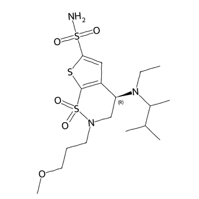 CCN(C(C)C(C)C)[C@H]1CN(CCCOC)S(=O)(=O)c2sc(S(N)(=O)=O)cc21